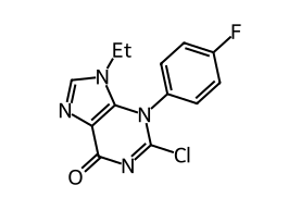 CCn1cnc2c(=O)nc(Cl)n(-c3ccc(F)cc3)c21